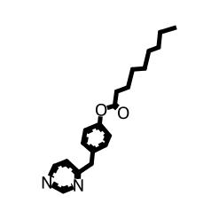 CCCCCCCCC(=O)Oc1ccc(Cc2ccncn2)cc1